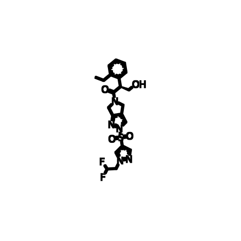 CCc1ccccc1[C@@H](CO)C(=O)N1Cc2cn(S(=O)(=O)c3cnn(CC(F)F)c3)nc2C1